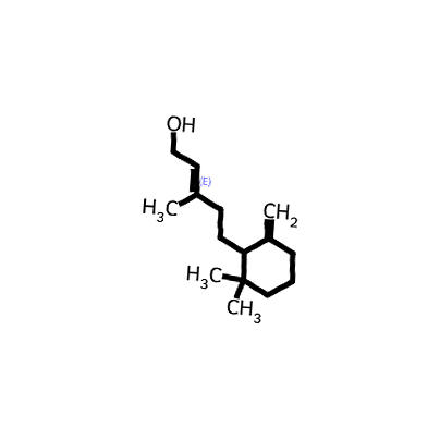 C=C1CCCC(C)(C)C1CC/C(C)=C/CO